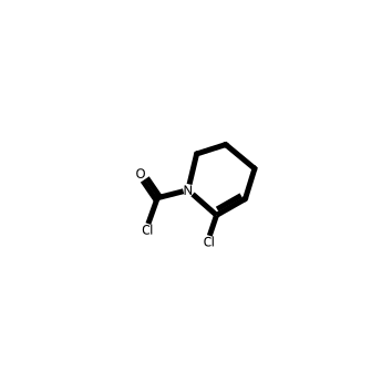 O=C(Cl)N1CCCC=C1Cl